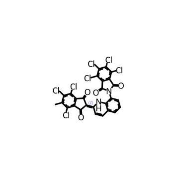 Cc1c(Cl)c(Cl)c2c(c1Cl)C(=O)/C(=C1\C=Cc3cccc(N4C(=O)c5c(Cl)c(Cl)c(Cl)c(Cl)c5C4=O)c3N1)C2=O